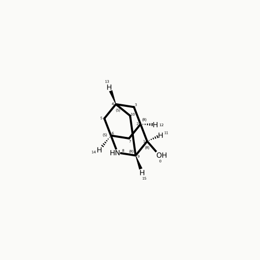 O[C@@H]1[C@@H]2C[C@H]3C[C@@H](C2)N[C@@H]1C3